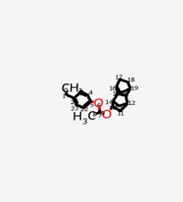 CCc1ccc(OC(C)OC2CC3CC2C2C4CCC(C4)C32)cc1